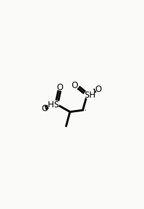 CC([CH][SH](=O)=O)[SH](=O)=O